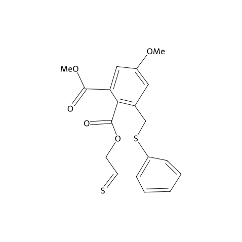 COC(=O)c1cc(OC)cc(CSc2ccccc2)c1C(=O)OCC=S